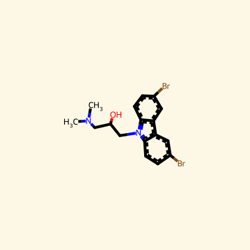 CN(C)CC(O)Cn1c2ccc(Br)cc2c2cc(Br)ccc21